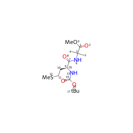 COC(=O)C(C)(C)NC(=O)[C@H](CCSC)NC(=O)OC(C)(C)C